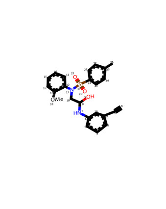 C#Cc1cccc(NC(O)CN(c2ccccc2OC)S(=O)(=O)c2ccc(C)cc2)c1